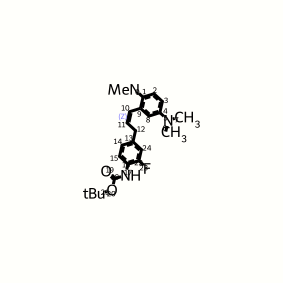 CNc1ccc(N(C)C)cc1/C=C\Cc1ccc(NC(=O)OC(C)(C)C)c(F)c1